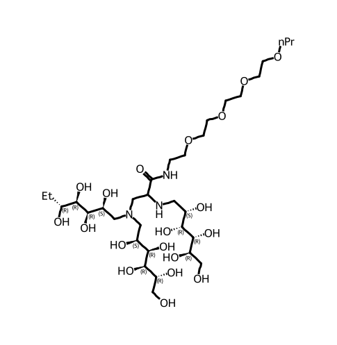 CCCOCCOCCOCCOCCNC(=O)C(CN(C[C@H](O)[C@@H](O)[C@H](O)[C@H](O)CC)C[C@H](O)[C@@H](O)[C@H](O)[C@H](O)CO)NC[C@H](O)[C@@H](O)[C@H](O)[C@H](O)CO